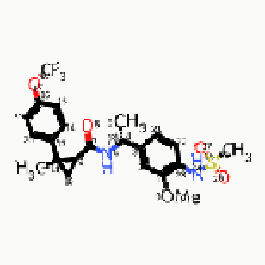 COc1cc([C@@H](C)NC(=O)C2CC2(C)c2ccc(OC(F)(F)F)cc2)ccc1NS(C)(=O)=O